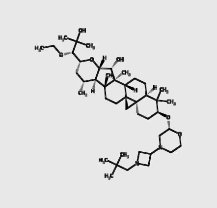 CCO[C@@H]([C@H]1C[C@@H](C)[C@H]2[C@H](O1)[C@H](O)[C@@]1(C)[C@@H]3CC[C@H]4C(C)(C)[C@@H](O[C@H]5CN(C6CN(CC(C)(C)C)C6)CCO5)CC[C@@]45C[C@@]35CC[C@]21C)C(C)(C)O